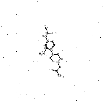 NC(=O)CN1CCN(c2ccc(OC(F)F)cc2N)CC1